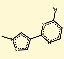 [2H]c1ccnc(-c2cnn(C)c2)n1